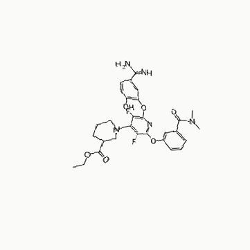 CCOC(=O)C1CCCN(c2c(F)c(Oc3cccc(C(=O)N(C)C)c3)nc(Oc3cc(C(=N)N)ccc3O)c2F)C1